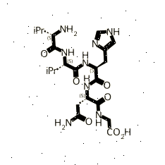 CC(C)[C@H](N)C(=O)N[C@H](C(=O)N[C@@H](Cc1c[nH]cn1)C(=O)N[C@@H](CC(N)=O)C(=O)NCC(=O)O)C(C)C